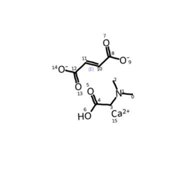 CN(C)CC(=O)O.O=C([O-])/C=C/C(=O)[O-].[Ca+2]